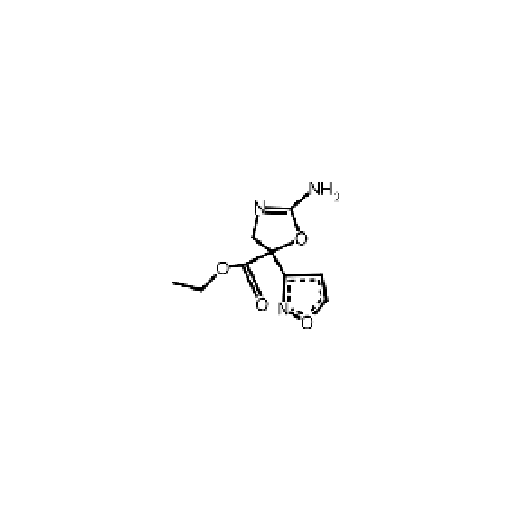 CCOC(=O)C1(c2ccon2)CN=C(N)O1